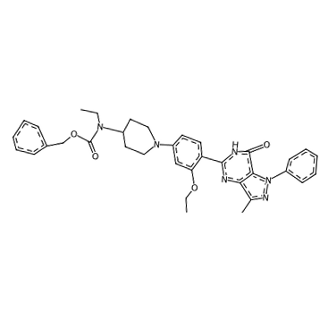 CCOc1cc(N2CCC(N(CC)C(=O)OCc3ccccc3)CC2)ccc1-c1nc2c(C)nn(-c3ccccc3)c2c(=O)[nH]1